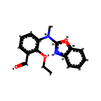 CCOc1c(C=O)cccc1N(C)c1nc2ccccc2o1